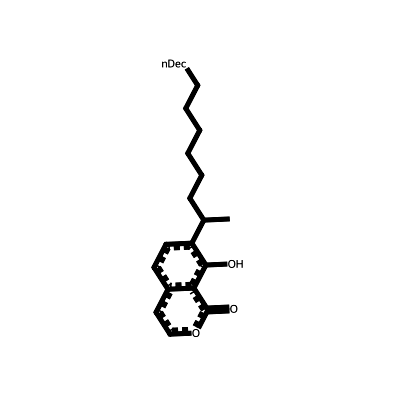 CCCCCCCCCCCCCCCCC(C)c1ccc2ccoc(=O)c2c1O